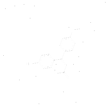 C=C1C=C(c2ccc(OC)cc2)c2ccc(O)cc2O1